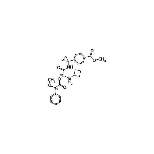 COC(=O)c1ccc(C2(NC(=O)[C@@H](OC(=O)[C@H](OC)c3ccccc3)[SiH2]C3CCC3)CC2)cc1